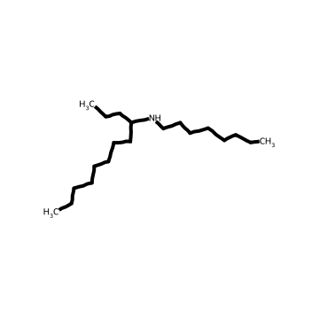 CCCCCCCCNC(CCC)CCCCCCCC